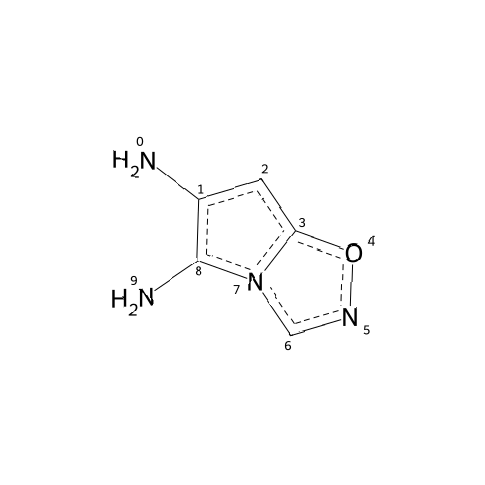 Nc1cc2oncn2c1N